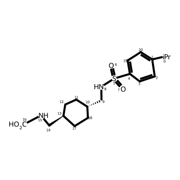 CC(C)c1ccc(S(=O)(=O)NC[C@H]2CC[C@H](CNC(=O)O)CC2)cc1